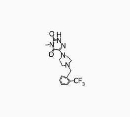 Cn1c(=O)[nH]nc(N2CCN(Cc3ccccc3C(F)(F)F)CC2)c1=O